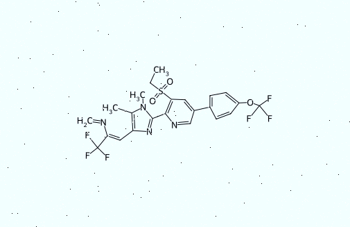 C=N/C(=C\c1nc(-c2ncc(-c3ccc(OC(F)(F)F)cc3)cc2S(=O)(=O)CC)n(C)c1C)C(F)(F)F